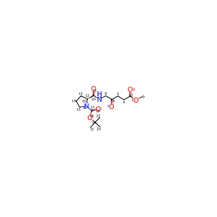 COC(=O)CCC(=O)CNC(=O)[C@@H]1CCCN1C(=O)OC(C)(C)C